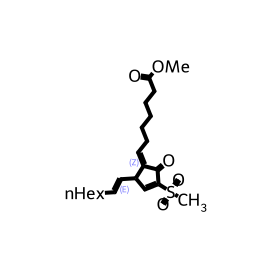 CCCCCC/C=C/C1C=C(S(C)(=O)=O)C(=O)/C1=C\CCCCCC(=O)OC